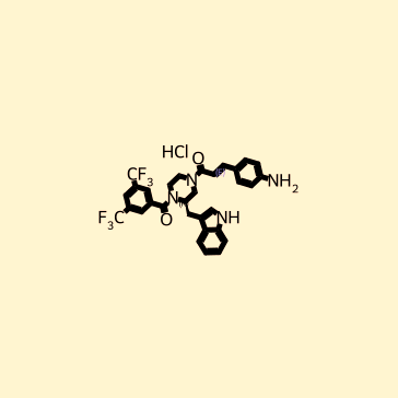 Cl.Nc1ccc(/C=C/C(=O)N2CCN(C(=O)c3cc(C(F)(F)F)cc(C(F)(F)F)c3)[C@H](Cc3c[nH]c4ccccc34)C2)cc1